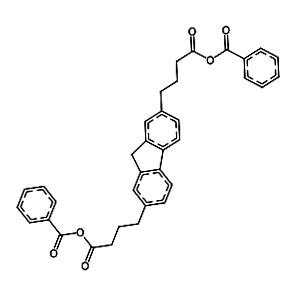 O=C(CCCc1ccc2c(c1)Cc1cc(CCCC(=O)OC(=O)c3ccccc3)ccc1-2)OC(=O)c1ccccc1